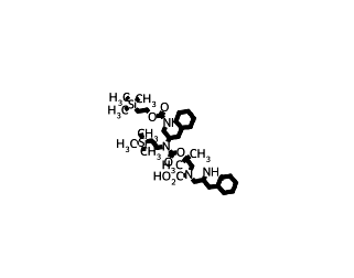 CC(C)(CN(CC(N)CC1CCCCC1)C(=O)O)OC(=O)N(CC[Si](C)(C)C)C(CNC(=O)OCC[Si](C)(C)C)CC1CCCCC1